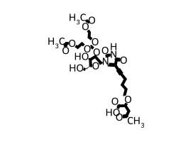 CC(=O)CC(OCCCCC#Cc1cn([C@@H]2O[C@H](CO)[C@@H](O)[C@H]2OC(OCCOC(C)=O)OCCOC(C)=O)c(=O)[nH]c1=O)C(=O)O